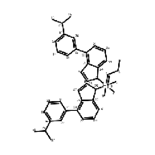 CC[CH]=[Hf]([CH3])([CH3])([CH3])([CH]1C=Cc2c(-c3cccc(C(C)C)c3)cccc21)[CH]1C=Cc2c(-c3cccc(C(C)C)c3)cccc21